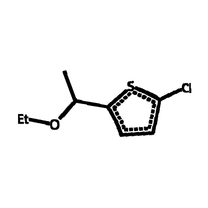 CCOC(C)c1ccc(Cl)s1